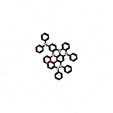 c1ccc(B2c3cc4c5c(c3-c3ccccc3N2c2ccccc2)N(c2ccccc2)c2cc(N(c3ccccc3)c3ccccc3)ccc2B5c2ccccc2N4c2ccccc2)cc1